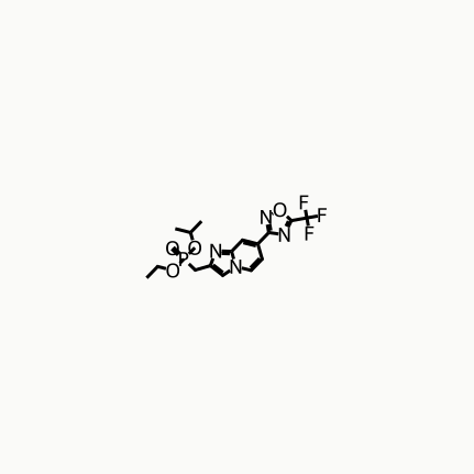 CCOP(=O)(Cc1cn2ccc(-c3noc(C(F)(F)F)n3)cc2n1)OC(C)C